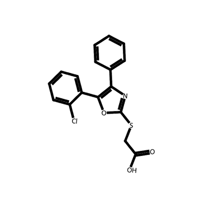 O=C(O)CSc1nc(-c2ccccc2)c(-c2ccccc2Cl)o1